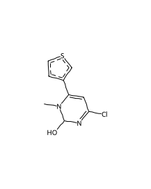 CN1C(c2ccsc2)=CC(Cl)=NC1O